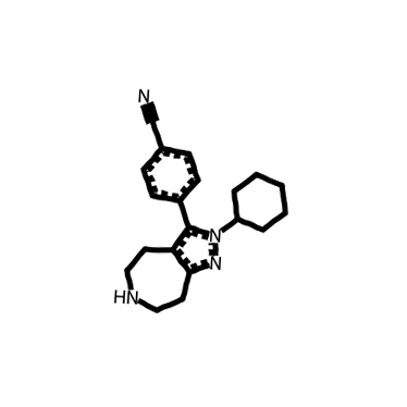 N#Cc1ccc(-c2c3c(nn2C2CCCCC2)CCNCC3)cc1